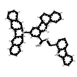 N=C(/N=C/c1cccc2c1sc1ccccc12)c1cc(-n2c3cc4ccccc4cc3c3cc4ccccc4cc32)cc2c1sc1c3ccccc3ccc21